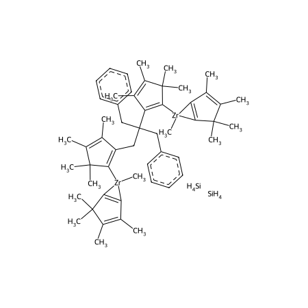 CC1=C(C)C(C)(C)[C]([Zr]2([CH3])[C]3=[C]2C(C)(C)C(C)=C3C)=C1CC(Cc1ccccc1)(Cc1ccccc1)C1=[C]([Zr]2([CH3])[C]3=[C]2C(C)(C)C(C)=C3C)C(C)(C)C(C)=C1C.[SiH4].[SiH4]